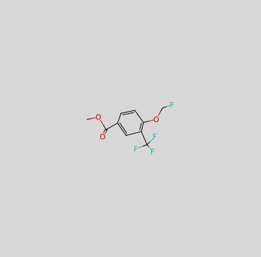 COC(=O)c1ccc(OCF)c(C(F)(F)F)c1